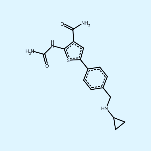 NC(=O)Nc1sc(-c2ccc(CNC3CC3)cc2)cc1C(N)=O